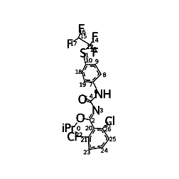 CC(C)OC(=NC(=O)Nc1ccc(SC(F)(F)C(F)F)cc1)c1c(Cl)cccc1Cl